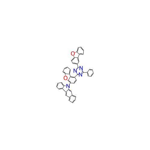 c1ccc(-c2nc(-c3ccc4oc5ccccc5c4c3)nc(-c3ccc(-n4c5ccccc5c5cc6ccccc6cc54)c4oc5ccccc5c34)n2)cc1